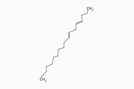 [CH2]CCC=CCC=CCCCCCCCCC[CH2]